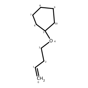 C=CCCOC1CCCCC1